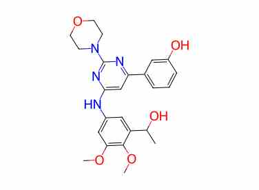 COc1cc(Nc2cc(-c3cccc(O)c3)nc(N3CCOCC3)n2)cc(C(C)O)c1OC